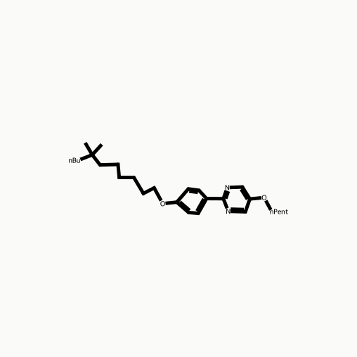 CCCCCOc1cnc(-c2ccc(OCCCCCCC(C)(C)CCCC)cc2)nc1